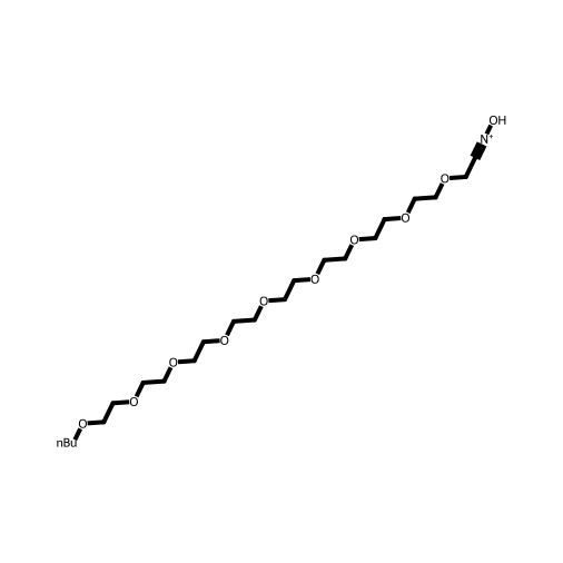 CCCCOCCOCCOCCOCCOCCOCCOCCOCCOCC#[N+]O